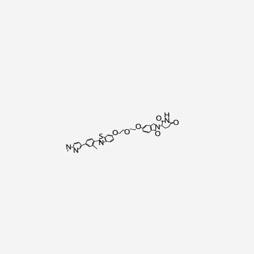 Cc1cc(-c2ccc(N(C)C)nc2)ccc1-c1nc2ccc(OCCOCCOc3ccc4c(c3)CN(C3CCC(=O)NC3=O)C4=O)cc2s1